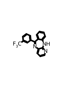 FC(F)(F)c1cccc(C2=Nc3cccnc3Nc3ccccc32)c1